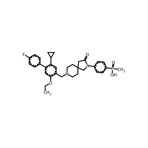 CCOc1cc(-c2ccc(F)cc2)c(C2CC2)cc1CN1CCC2(CC1)CC(=O)N(c1ccc(P(C)(=O)O)cc1)C2